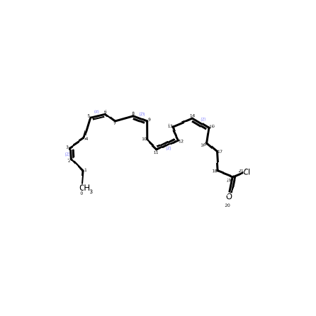 CC/C=C\C/C=C\C/C=C\C/C=C\C/C=C\CCCC(=O)Cl